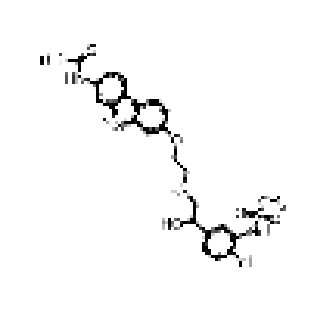 CC(=O)Nc1ccc2c(c1)[nH]c1cc(OCCNCC(O)c3ccc(Cl)c(NS(C)(=O)=O)c3)ccc12